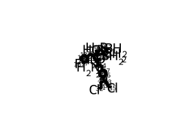 BC(B)(B)C(B)(B)OC(=O)C(Cc1ccc(F)cc1)NC(=O)C(N)Cc1ccc(N(CCCl)CCCl)cc1